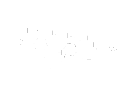 COCCC(C)(C)c1cc(SC(C)(C)Sc2cc(C(C)(C)C)c(O)c(C(C)(C)C)c2)cc(C(C)(C)C)c1O